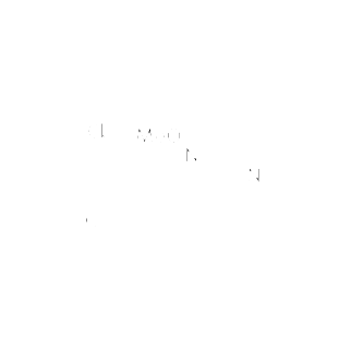 CON=C(Cc1cccnc1)c1cc(Cl)cc(Cl)c1